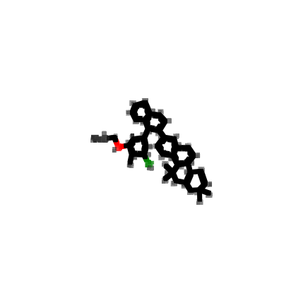 COCOc1cc(-c2c(-c3ccc4c5c(ccc4c3)C3=C(CC(C)(C)C=C3)CC5(C)C)ccc3ccccc23)cc(Br)c1C